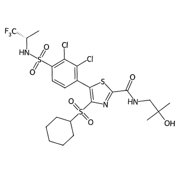 C[C@H](NS(=O)(=O)c1ccc(-c2sc(C(=O)NCC(C)(C)O)nc2S(=O)(=O)C2CCCCC2)c(Cl)c1Cl)C(F)(F)F